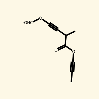 CC#COC(=O)C(C)C#CO[C]=O